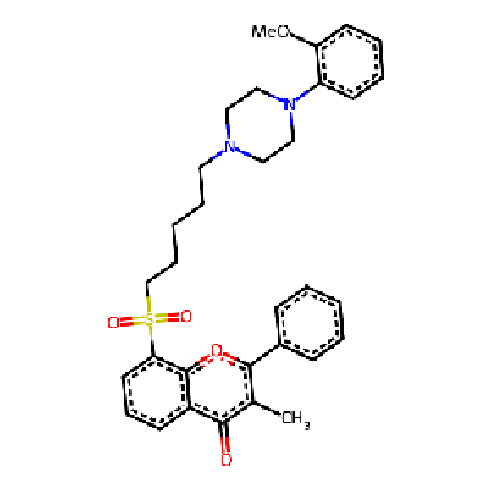 COc1ccccc1N1CCN(CCCCCS(=O)(=O)c2cccc3c(=O)c(C)c(-c4ccccc4)oc23)CC1